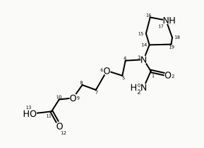 NC(=O)N(CCOCCOCC(=O)O)C1CCNCC1